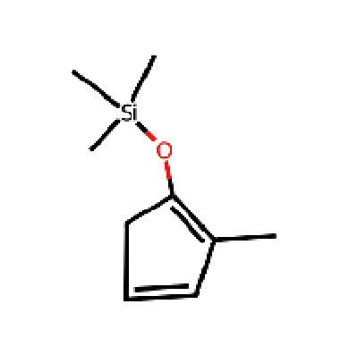 CC1=C(O[Si](C)(C)C)CC=C1